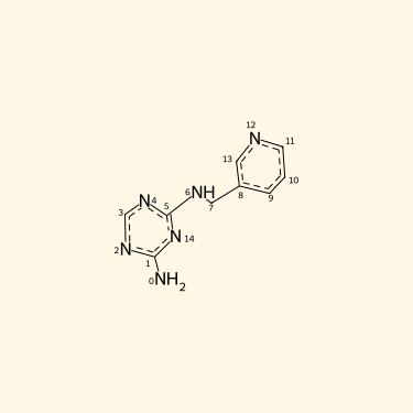 Nc1ncnc(NCc2cccnc2)n1